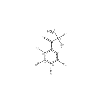 CCC(F)(C(=O)O)C(=O)c1cc(F)c(F)c(F)c1F